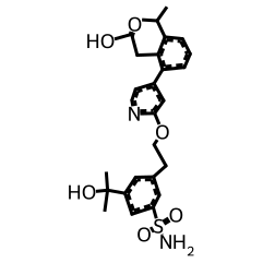 CC(C)c1cccc(-c2ccnc(OCCc3cc(C(C)(C)O)cc(S(N)(=O)=O)c3)c2)c1CC(=O)O